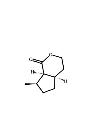 C[C@@H]1CC[C@@H]2CCOC(=O)[C@@H]21